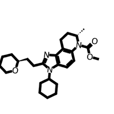 COC(=O)N1c2ccc3c(nc(CC[C@@H]4CCCCO4)n3C3CCCCC3)c2CC[C@@H]1C